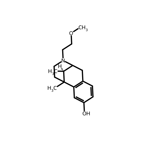 COCCN1CCC2(C)c3cc(O)ccc3CC1[C@@H]2C